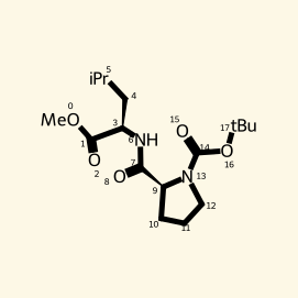 COC(=O)[C@@H](CC(C)C)NC(=O)[C@@H]1CCCN1C(=O)OC(C)(C)C